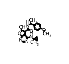 COc1ccc([C@H](C)NC(=O)c2c(C)oc3ncnc(NC4(C)CC4)c23)cc1